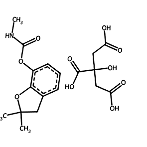 CNC(=O)Oc1cccc2c1OC(C)(C)C2.O=C(O)CC(O)(CC(=O)O)C(=O)O